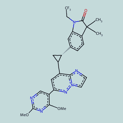 COc1ncc(-c2cc(C3C[C@@H]3c3ccc4c(c3)N(CC(F)(F)F)C(=O)C4(C)C)c3nccn3n2)c(OC)n1